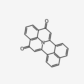 O=c1cc2c3cccc4cccc(c43)c3cc(=O)c4cccc1c4n23